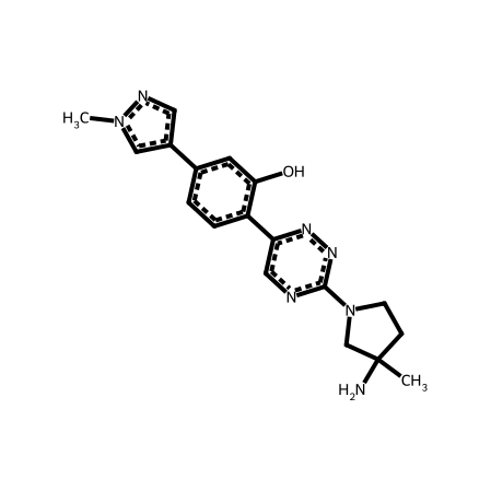 Cn1cc(-c2ccc(-c3cnc(N4CCC(C)(N)C4)nn3)c(O)c2)cn1